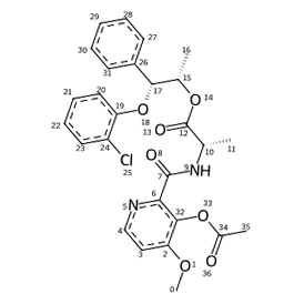 COc1ccnc(C(=O)N[C@@H](C)C(=O)O[C@@H](C)[C@H](Oc2ccccc2Cl)c2ccccc2)c1OC(C)=O